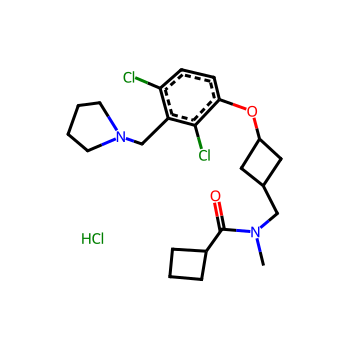 CN(CC1CC(Oc2ccc(Cl)c(CN3CCCC3)c2Cl)C1)C(=O)C1CCC1.Cl